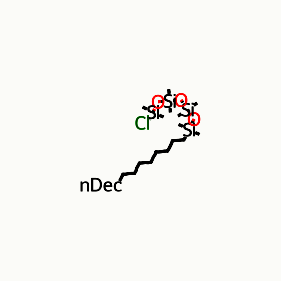 CCCCCCCCCCCCCCCCCC[Si](C)(C)O[Si](C)(C)O[Si](C)(C)O[Si](C)(C)Cl